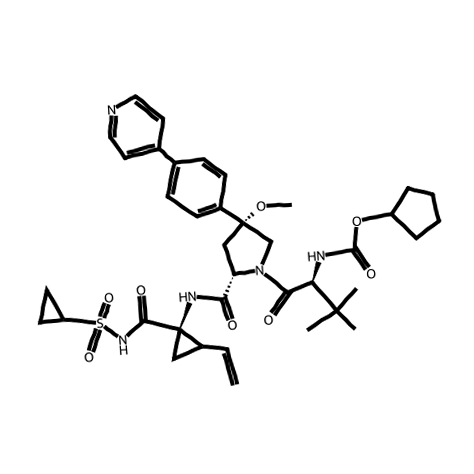 C=CC1C[C@]1(NC(=O)[C@@H]1C[C@@](OC)(c2ccc(-c3ccncc3)cc2)CN1C(=O)[C@@H](NC(=O)OC1CCCC1)C(C)(C)C)C(=O)NS(=O)(=O)C1CC1